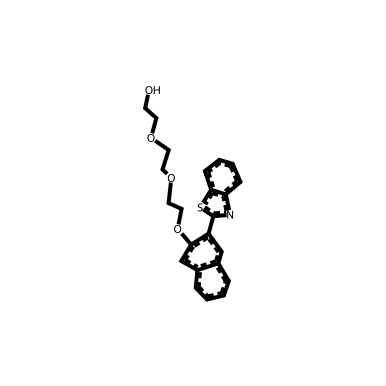 OCCOCCOCCOc1cc2ccccc2cc1-c1nc2ccccc2s1